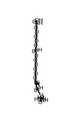 O=C(O)NCCOCCOCCOCCOCCOCCNC(=O)CCOCCOCCOCCOCCOCCOCCn1cc(CNC(=O)CCCC[C@@H]2SC[C@@H]3NC(=O)N[C@@H]32)nn1